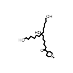 CN1CCC(C(=O)CCCCCC(O)(CCCCCCO)CCCCCCO)CC1